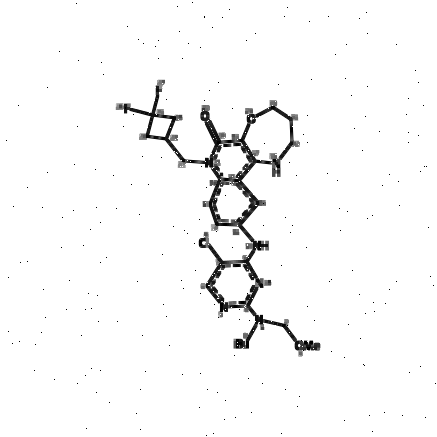 CCC(C)N(COC)c1ncc(Cl)c(Nc2ccc3c(c2)c2c(c(=O)n3CC3CC(F)(F)C3)OCCCN2)n1